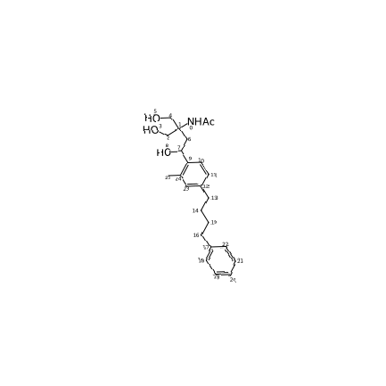 CC(=O)NC(CO)(CO)CC(O)c1ccc(CCCCc2ccccc2)cc1C